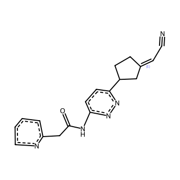 N#C/C=C1\CCC(c2ccc(NC(=O)Cc3ccccn3)nn2)C1